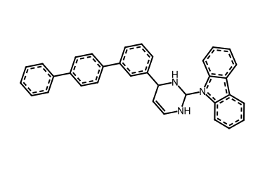 C1=CC(c2cccc(-c3ccc(-c4ccccc4)cc3)c2)NC(n2c3ccccc3c3ccccc32)N1